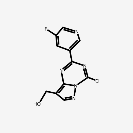 OCc1cnn2c(Cl)nc(-c3cncc(F)c3)nc12